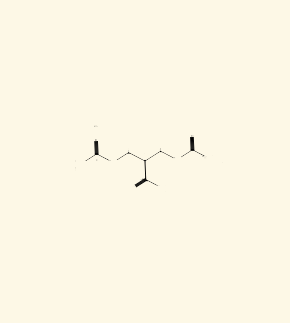 CC(=O)SCC(CSC(C)=O)C(=O)Cl